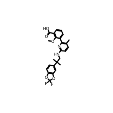 COc1c(C(=O)O)cccc1-c1nc(NCC(C)(C)c2ccc3c(c2)OC(F)(F)O3)ccc1C